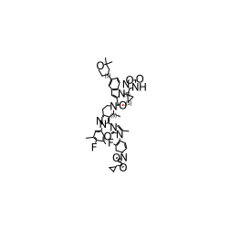 Cc1cc(-n2nc3c(c2-n2cc(C)n(C4=C(F)CC(=NS(=O)(=O)C5CC5)C=C4)c2=O)[C@H](C)N(C(=O)c2cc4cc([C@H]5CCOC(C)(C)C5)ccc4n2[C@@]2(c4noc(=O)[nH]4)C[C@@H]2C)CC3)cc(C)c1F